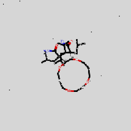 CC(C)CC(CC(C)C)(C(N)=O)[C@@H]1OCCCOCCOCCCO[C@H]1C(CC(C)C)(CC(C)C)C(N)=O